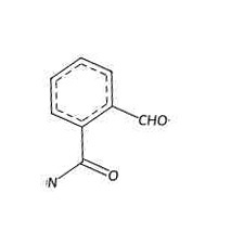 [N]C(=O)c1ccccc1[C]=O